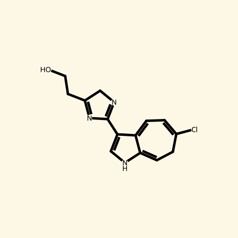 OCCC1=NC(c2c[nH]c3c2=CC=C(Cl)CC=3)=NC1